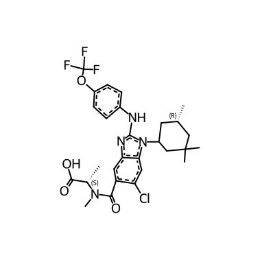 C[C@H]1CC(n2c(Nc3ccc(OC(F)(F)F)cc3)nc3cc(C(=O)N(C)[C@@H](C)C(=O)O)c(Cl)cc32)CC(C)(C)C1